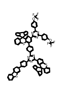 FC(F)(F)Oc1ccc(-c2nc(-c3ccc(OC(F)(F)F)cc3)nc(-c3cc(-c4ccc(-c5nc(-c6ccc(-c7ccc8c(c7)sc7ccccc78)cc6)nc(-c6ccc7c(c6)C6(c8ccccc8S7)c7ccccc7-c7ccccc76)n5)cc4)c4c(c3)C3(c5ccccc5S4)c4ccccc4-c4ccccc43)n2)cc1